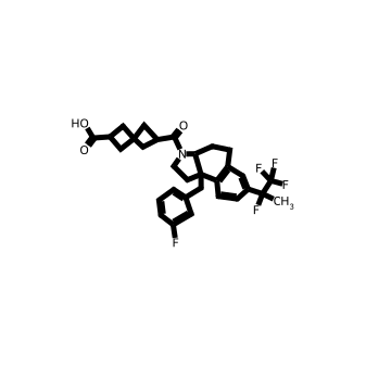 CC(F)(c1ccc2c(c1)CCC1N(C(=O)C3CC4(CC(C(=O)O)C4)C3)CCC21Cc1cccc(F)c1)C(F)(F)F